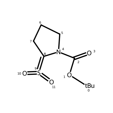 CC(C)(C)OC(=O)N1CCCC1=S(=O)=O